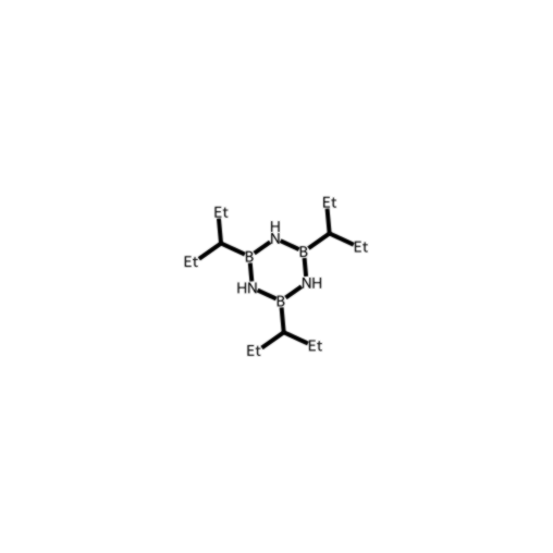 CCC(CC)B1NB(C(CC)CC)NB(C(CC)CC)N1